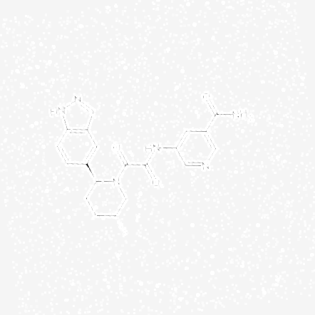 C[C@@H]1CC[C@@H](c2ccc3[nH]ncc3c2)N(C(=O)C(=O)Nc2cncc(C(N)=O)c2)C1